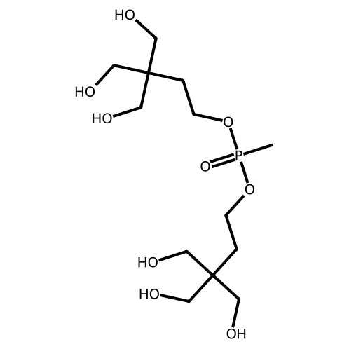 CP(=O)(OCCC(CO)(CO)CO)OCCC(CO)(CO)CO